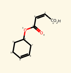 O=C(O)/C=C\C(=O)OC1CC=CCC1